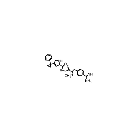 C[C@H](NC(=O)[C@H]1C=C(C2(c3ccccc3)CC2)CN1)C(=O)NCc1ccc(C(=N)N)cc1